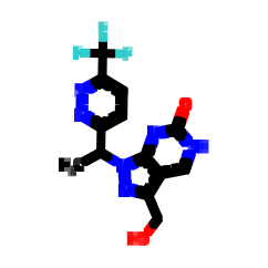 CC(c1ccc(C(F)(F)F)nn1)n1nc(CO)c2c[nH]c(=O)nc21